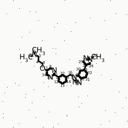 CN(C)CCCOc1cnc(-c2cccc(Cn3nnc4ccc(-c5cnn(C)c5)cc43)c2)nc1